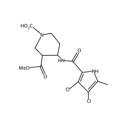 COC(=O)C1CN(C(=O)O)CCC1NC(=O)c1[nH]c(C)c(Cl)c1Cl